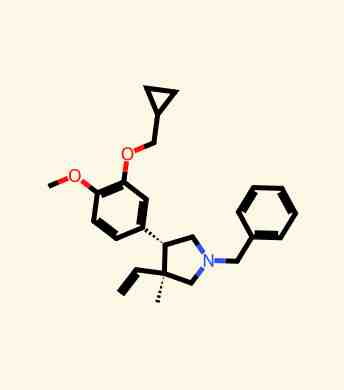 C=C[C@]1(C)CN(Cc2ccccc2)C[C@H]1c1ccc(OC)c(OCC2CC2)c1